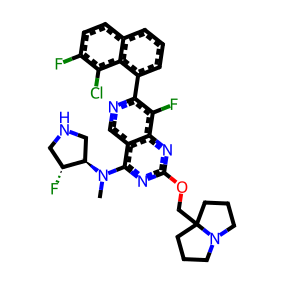 CN(c1nc(OCC23CCCN2CCC3)nc2c(F)c(-c3cccc4ccc(F)c(Cl)c34)ncc12)[C@@H]1CNC[C@H]1F